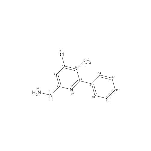 NNc1cc(Cl)c(C(F)(F)F)c(-c2ccccc2)n1